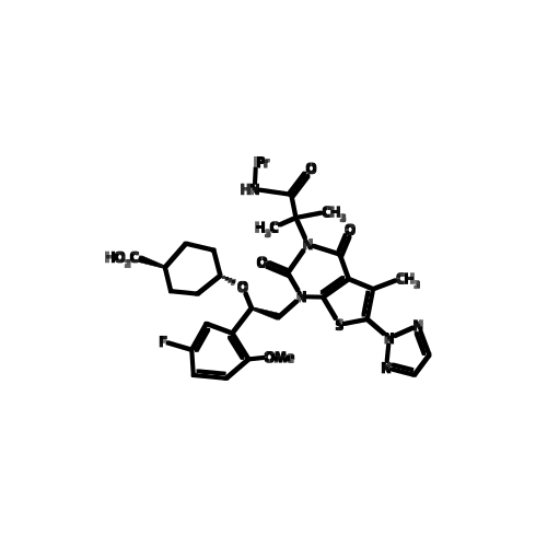 COc1ccc(F)cc1[C@H](Cn1c(=O)n(C(C)(C)C(=O)NC(C)C)c(=O)c2c(C)c(-n3nccn3)sc21)O[C@H]1CC[C@H](C(=O)O)CC1